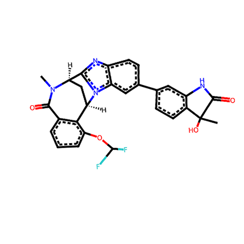 CN1C(=O)c2cccc(OC(F)F)c2[C@H]2C[C@@H]1c1nc3ccc(-c4ccc5c(c4)NC(=O)C5(C)O)cc3n12